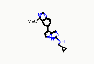 COc1ncnc2ccc(-c3ccn4nc(NCC5CC5)ncc34)cc12